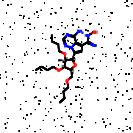 CCCCOC[C@H]1O[C@@H](c2cc(C(=N)NO)c3c(N)ncnn23)[C@](C)(OCCCC)[C@@H]1OCCCC